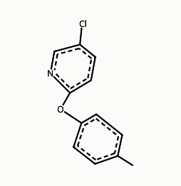 Cc1ccc(Oc2ccc(Cl)cn2)cc1